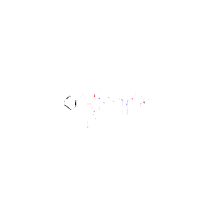 CCOC(=O)C(C)N(CCCNC(=O)OC(C)(C)C)C(=O)OCc1ccccc1